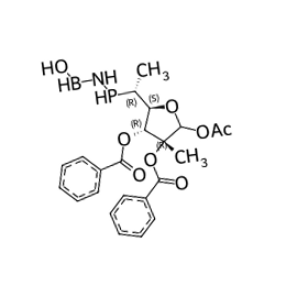 CC(=O)OC1O[C@H]([C@@H](C)PNBO)[C@@H](OC(=O)c2ccccc2)[C@@]1(C)OC(=O)c1ccccc1